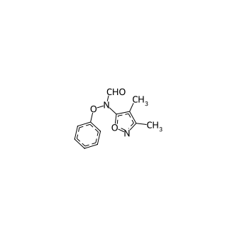 Cc1noc(N(C=O)Oc2ccccc2)c1C